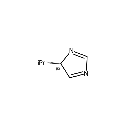 CC(C)[C@H]1C=NC=N1